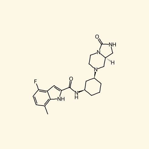 Cc1ccc(F)c2cc(C(=O)N[C@@H]3CCC[C@H](N4CCN5C(=O)NC[C@H]5C4)C3)[nH]c12